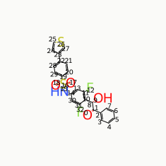 O=C(c1ccccc1)C(O)c1c(F)cc(NS(=O)(=O)c2ccc(-c3ccsc3)cc2)cc1F